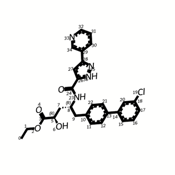 CCOC(=O)[C@H](O)C[C@@H](Cc1ccc(-c2cccc(Cl)c2)cc1)NC(=O)c1cc(-c2cccnc2)n[nH]1